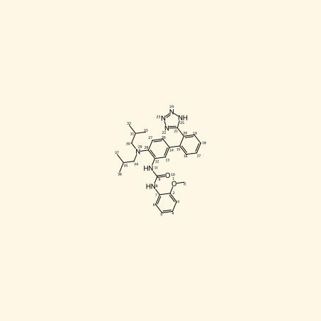 COc1ccccc1NC(=O)Nc1cc(-c2ccccc2-c2nnn[nH]2)ccc1N(CC(C)C)CC(C)C